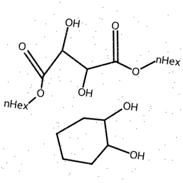 CCCCCCOC(=O)C(O)C(O)C(=O)OCCCCCC.OC1CCCCC1O